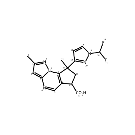 Cc1cc2ncc3c(n2n1)C(C)(c1ccn(C(F)F)n1)CC3C(=O)O